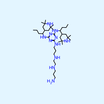 CCCC(Nc1nc(NCCCNCCNCCCN)nc(NC(CCC)C2CC(C)(C)NC(C)(C)C2)n1)C1CC(C)(C)NC(C)(C)C1